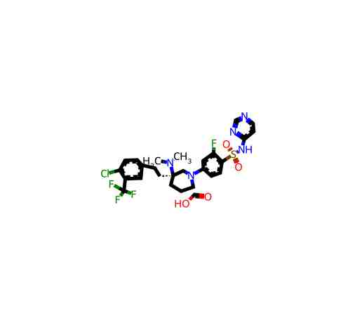 CN(C)[C@]1(CCc2ccc(Cl)c(C(F)(F)F)c2)CCCN(c2ccc(S(=O)(=O)Nc3ccncn3)c(F)c2)C1.O=CO